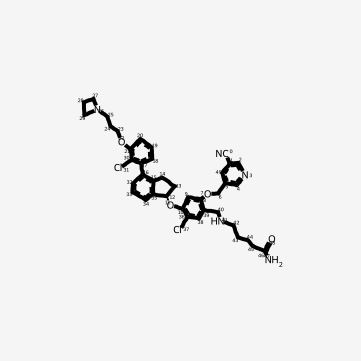 N#Cc1cncc(COc2cc(O[C@H]3CCc4c(-c5cccc(OCCCN6CCC6)c5Cl)cccc43)c(Cl)cc2CNCCCCC(N)=O)c1